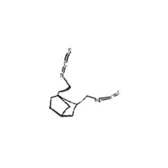 S=C=NCC1CC2CCC1(CN=C=S)C2